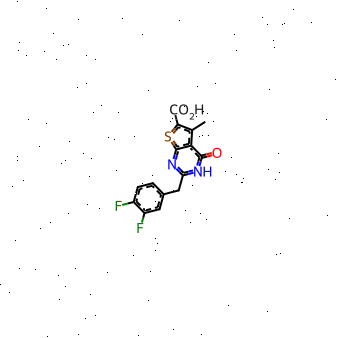 Cc1c(C(=O)O)sc2nc(Cc3ccc(F)c(F)c3)[nH]c(=O)c12